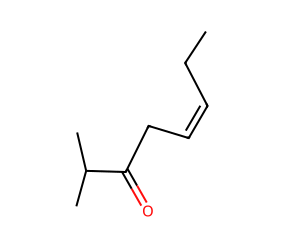 CC/C=C\CC(=O)C(C)C